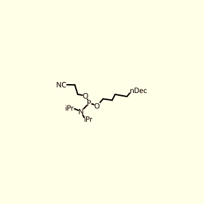 CCCCCCCCCCCCCCOP(OCCC#N)N(C(C)C)C(C)C